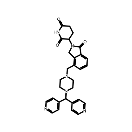 O=C1CCC(N2Cc3c(CN4CCN(C(c5ccncc5)c5ccncc5)CC4)cccc3C2=O)C(=O)N1